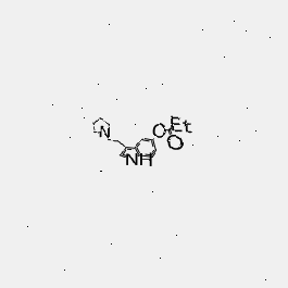 CCC(=O)Oc1ccc2[nH]cc(CCN3CCCC3)c2c1